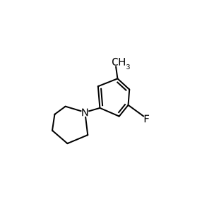 Cc1cc(F)cc(N2CCCCC2)c1